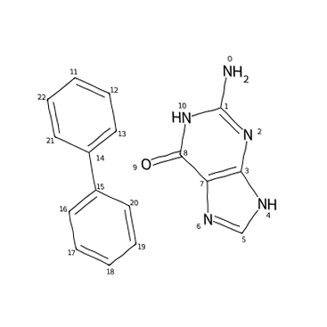 Nc1nc2[nH]cnc2c(=O)[nH]1.c1ccc(-c2ccccc2)cc1